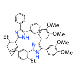 CCC1=C(c2nc(-c3ccccc3)c(-c3ccccc3)[nH]2)C=C2CC2(Cc2ccc(CC)c(-c3nc(-c4ccc(OC)c(OC)c4)c(-c4ccc(OC)c(OC)c4)[nH]3)c2)C1